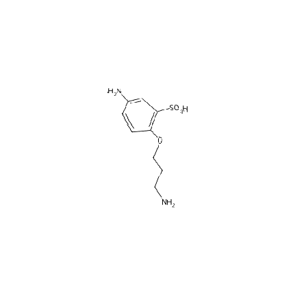 NCCCOc1ccc(N)cc1S(=O)(=O)O